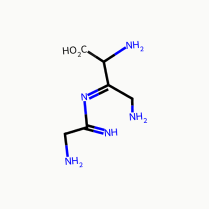 N=C(CN)N=C(CN)C(N)C(=O)O